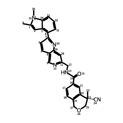 Cc1cc2c(-c3ccc4cnc(CNC(=O)c5ccc6c(c5)[C@](C)(C#N)COC6)cc4n3)cccc2n1C